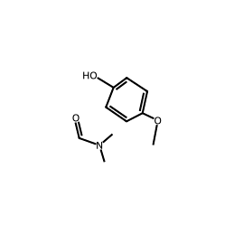 CN(C)C=O.COc1ccc(O)cc1